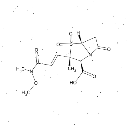 CON(C)C(=O)/C=C/[C@@]1(C)[C@H](C(=O)O)N2C(=O)C[C@H]2S1(=O)=O